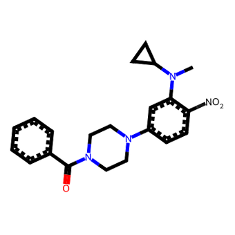 CN(c1cc(N2CCN(C(=O)c3ccccc3)CC2)ccc1[N+](=O)[O-])C1CC1